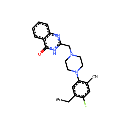 CC(C)Cc1cc(N2CCN(Cc3nc4ccccc4c(=O)[nH]3)CC2)c(C#N)cc1F